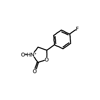 O=C1OC(c2ccc(F)cc2)C[NH+]1[O-]